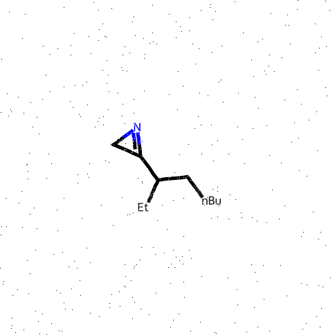 CCCCCC(CC)C1=NC1